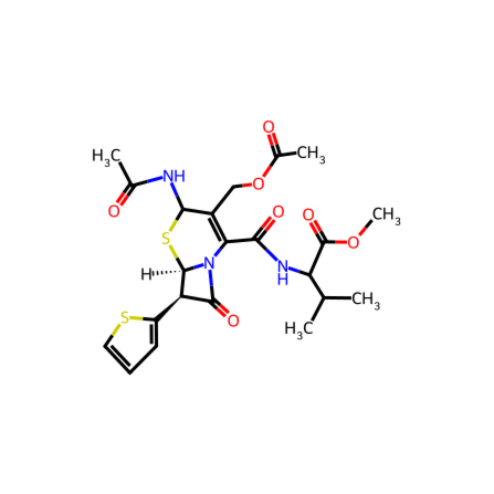 COC(=O)C(NC(=O)C1=C(COC(C)=O)C(NC(C)=O)S[C@@H]2[C@H](c3cccs3)C(=O)N12)C(C)C